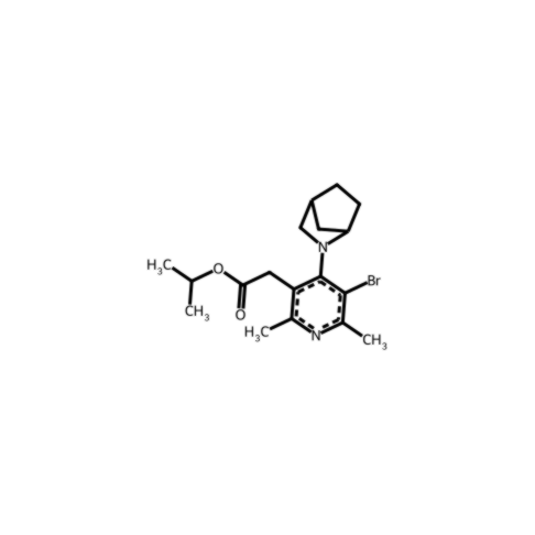 Cc1nc(C)c(CC(=O)OC(C)C)c(N2CC3CCC2C3)c1Br